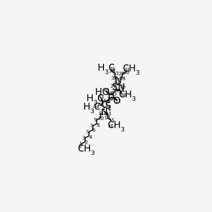 CCCCCCCCCCCC/[N+](CCCC)=C1/S/C(=C2\C(=O)C(c3sc(N(CCCC)CCCC)nc3C)=C2O)C(C)=C1C